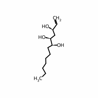 C=C[C@H](O)C[C@H](O)[C@@H](O)CCCCCCC